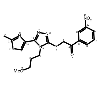 COCCCn1c(SCC(=O)c2cccc([N+](=O)[O-])c2)nnc1-c1csc(C)n1